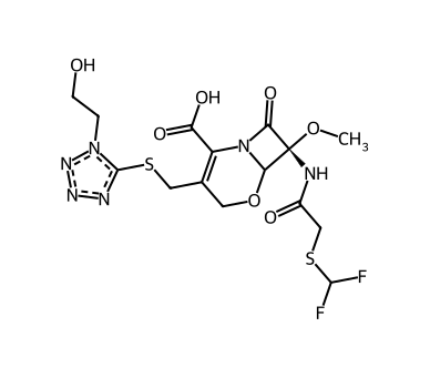 CO[C@@]1(NC(=O)CSC(F)F)C(=O)N2C(C(=O)O)=C(CSc3nnnn3CCO)COC21